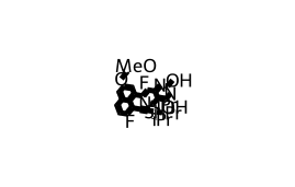 COCOc1cc(-c2ncc3c(O)nc(O)nc3c2F)c2c(C#C[Si](C(C)C)(C(C)C)C(C)C)c(F)ccc2c1